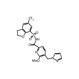 COc1nc(C(=O)NS(=O)(=O)c2cc(C(F)(F)F)cc3c2OCC3)ccc1Cn1cccn1